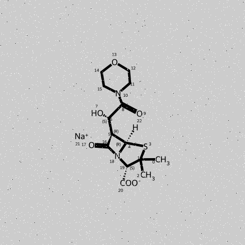 CC1(C)S[C@@H]2[C@H]([C@H](O)C(=O)N3CCOCC3)C(=O)N2[C@H]1C(=O)[O-].[Na+]